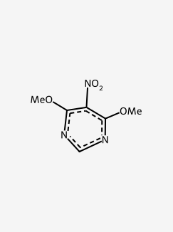 COc1ncnc(OC)c1[N+](=O)[O-]